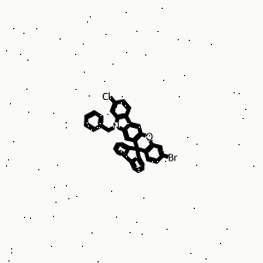 Clc1ccc2c3cc4c(cc3n(Cc3ccccc3)c2c1)C1(c2ccc(Br)cc2O4)c2ccccc2-c2ccccc21